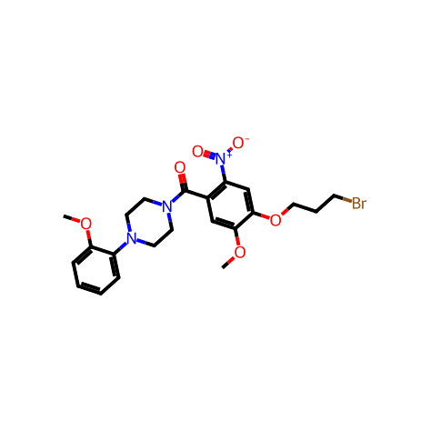 COc1cc(C(=O)N2CCN(c3ccccc3OC)CC2)c([N+](=O)[O-])cc1OCCCBr